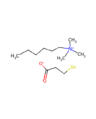 CCCCCC[N+](C)(C)C.O=C([O-])CCS